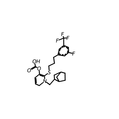 O=C(O)OC1=C(SCCCc2cc(F)cc(C(F)(F)F)c2)N(CC2CC3CCC2C3)CC=C1